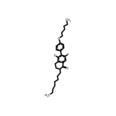 CCCCCCCCC1CCc2c(cc(F)c(-c3ccc(OCCCCCC)cc3)c2F)C1=O